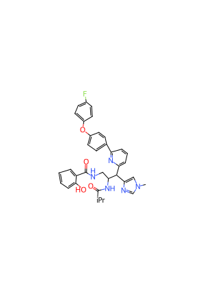 CC(C)C(=O)NC(CNC(=O)c1ccccc1O)C(c1cn(C)cn1)c1cccc(-c2ccc(Oc3ccc(F)cc3)cc2)n1